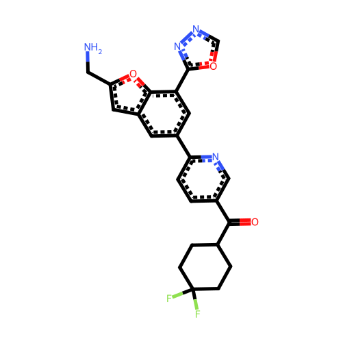 NCc1cc2cc(-c3ccc(C(=O)C4CCC(F)(F)CC4)cn3)cc(-c3nnco3)c2o1